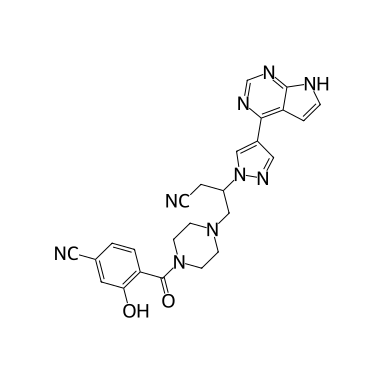 N#CCC(CN1CCN(C(=O)c2ccc(C#N)cc2O)CC1)n1cc(-c2ncnc3[nH]ccc23)cn1